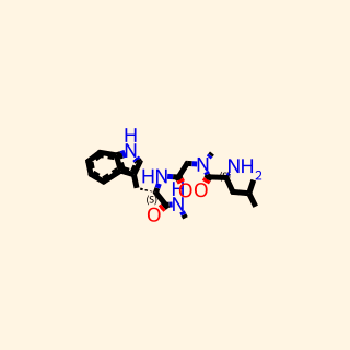 CNC(=O)[C@H](Cc1c[nH]c2ccccc12)NC(=O)CN(C)C(=O)[C@@H](N)CC(C)C